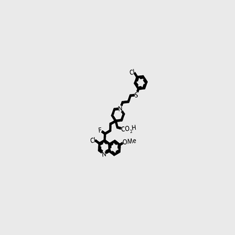 COc1ccc2ncc(Cl)c(C(F)CCC3(CC(=O)O)CCN(CCCSc4cccc(Cl)c4)CC3)c2c1